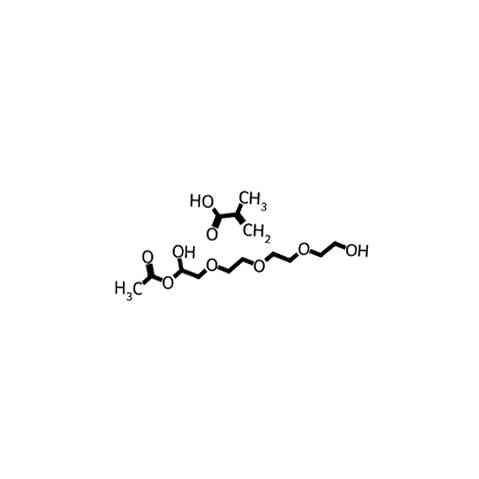 C=C(C)C(=O)O.CC(=O)OC(O)COCCOCCOCCO